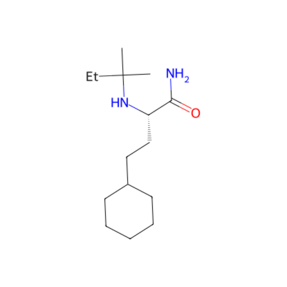 CCC(C)(C)N[C@@H](CCC1CCCCC1)C(N)=O